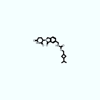 CC(C)C1CC(COC(=O)NCc2ccc3c(c2)C(=O)N(C2CCC(=O)NC2=O)C3)C1